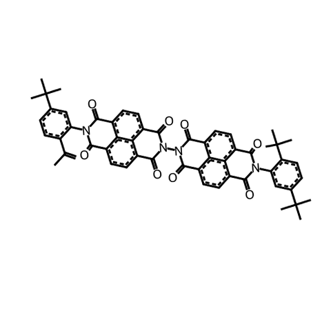 C=C(C)c1ccc(C(C)(C)C)cc1N1C(=O)c2ccc3c4c(ccc(c24)C1=O)C(=O)N(N1C(=O)c2ccc4c5c(ccc(c25)C1=O)C(=O)N(c1cc(C(C)(C)C)ccc1C(C)(C)C)C4=O)C3=O